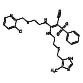 Cc1nc[nH]c1CSCCN/C(NCCSCc1ncccc1Cl)=C(/C#N)S(=O)(=O)c1ccccc1